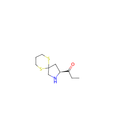 CCC(=O)[C@@H]1CC2(CN1)SCCCS2